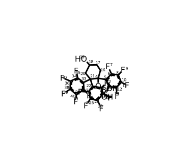 OB(O)OC1(c2c(F)c(F)c(F)c(F)c2F)CCC(O)CC1(c1c(F)c(F)c(F)c(F)c1F)c1c(F)c(F)c(F)c(F)c1F